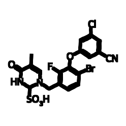 CC1=CN(Cc2ccc(Br)c(Oc3cc(Cl)cc(C#N)c3)c2F)C(S(=O)(=O)O)NC1=O